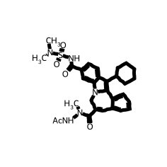 CC(=O)NN(C)C(=O)C1=Cc2ccccc2-c2c(C3CCCCC3)c3ccc(C(=O)NS(=O)(=O)N(C)C)cc3n2C1